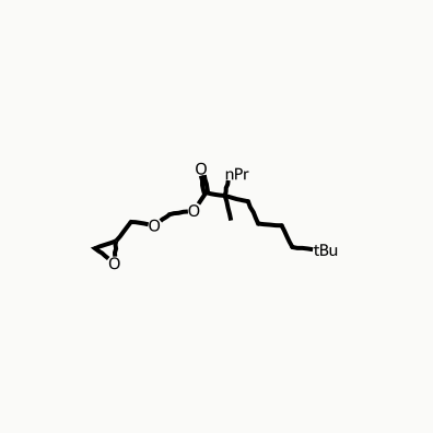 CCCC(C)(CCCCC(C)(C)C)C(=O)OCOCC1CO1